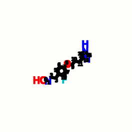 ON=CCc1ccc(OCCCc2c[nH]cn2)cc1F